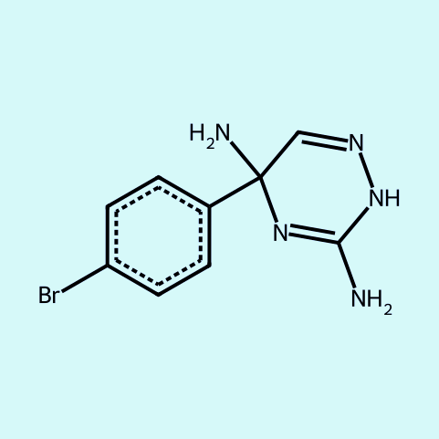 NC1=NC(N)(c2ccc(Br)cc2)C=NN1